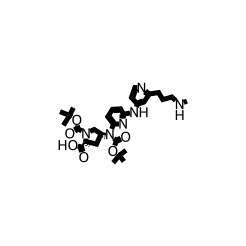 CNCCCc1cc(Nc2cccc(N(C(=O)OC(C)(C)C)[C@H]3C[C@@H](C(=O)O)N(C(=O)OC(C)(C)C)C3)n2)ccn1